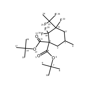 CC1CC(C(=O)OC(C)(C)C)(C(=O)OC(C)(C)C)C(F)(F)C(F)(C(C)(F)F)C1